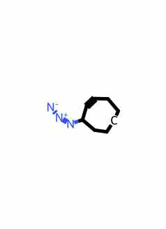 [N-]=[N+]=NC1C#CCCCCC1